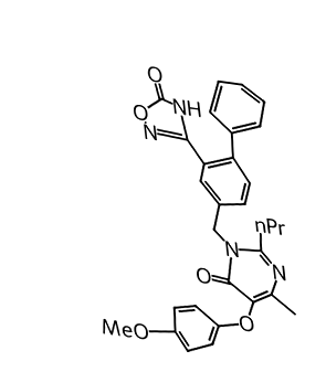 CCCc1nc(C)c(Oc2ccc(OC)cc2)c(=O)n1Cc1ccc(-c2ccccc2)c(-c2noc(=O)[nH]2)c1